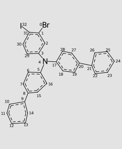 Brc1cc(N(c2ccc(-c3ccccc3)cc2)c2ccc(-c3ccccc3)cc2)ccc1I